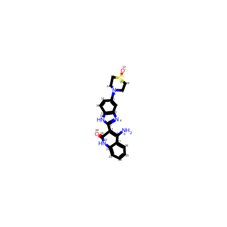 Nc1c(-c2nc3cc(N4CC[S+]([O-])CC4)ccc3[nH]2)c(=O)[nH]c2ccccc12